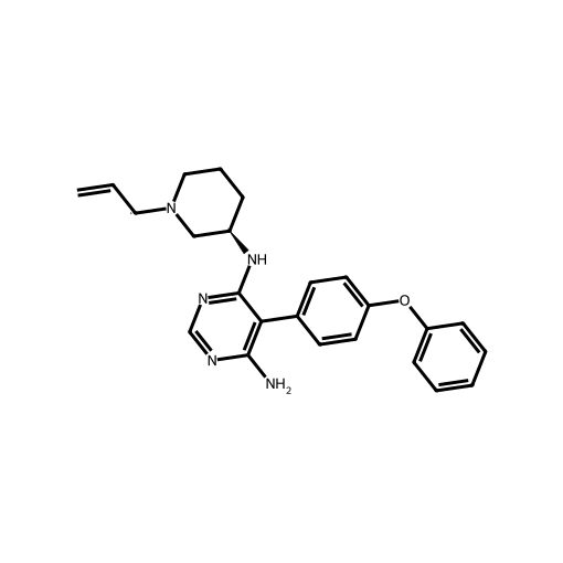 C=C[CH]N1CCC[C@@H](Nc2ncnc(N)c2-c2ccc(Oc3ccccc3)cc2)C1